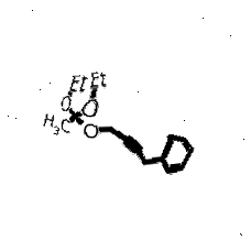 CCOC(C)(OCC)OCC#CCc1ccccc1